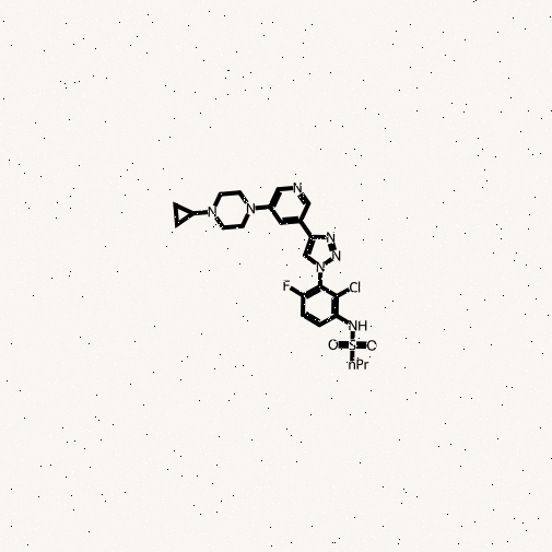 CCCS(=O)(=O)Nc1ccc(F)c(-n2cc(-c3cncc(N4CCN(C5CC5)CC4)c3)nn2)c1Cl